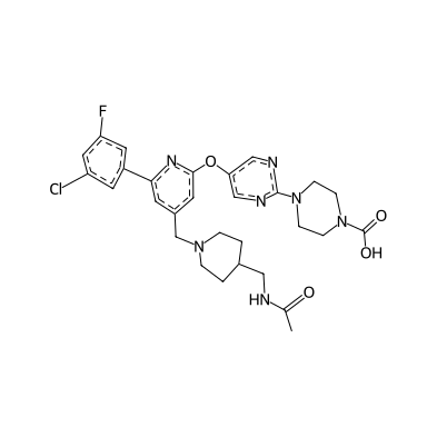 CC(=O)NCC1CCN(Cc2cc(Oc3cnc(N4CCN(C(=O)O)CC4)nc3)nc(-c3cc(F)cc(Cl)c3)c2)CC1